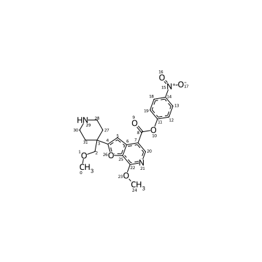 COCC1(c2cc3c(C(=O)Oc4ccc([N+](=O)[O-])cc4)cnc(OC)c3o2)CCNCC1